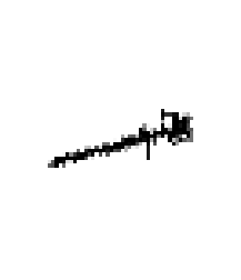 CCC=CCC=CCC=CCC=CCC=CCCCC(=O)NCCNC(=O)c1cnccc1O